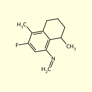 C=Nc1cc(F)c(C)c2c1C(C)CCC2